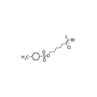 Cc1ccc(S(=O)(=O)OCCCCC/C(Cl)=C(/Br)I)cc1